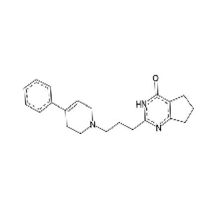 O=c1[nH]c(CCCN2CC=C(c3ccccc3)CC2)nc2c1CCC2